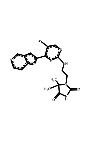 CC1(C)C(=O)NC(=O)N1CCNc1ncc(Br)c(-c2cc3cnccc3s2)n1